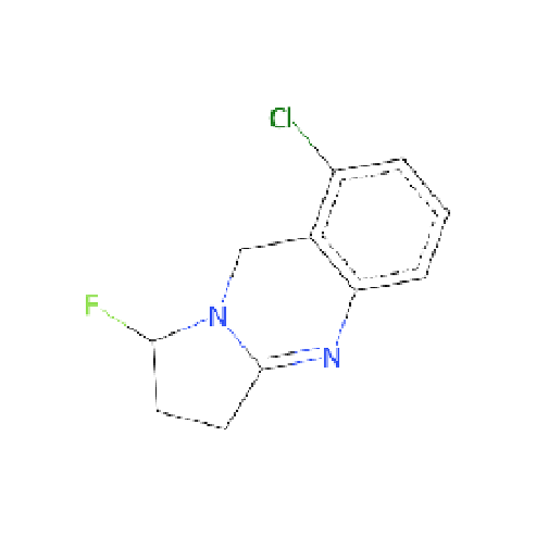 FC1CCC2=Nc3cccc(Cl)c3CN21